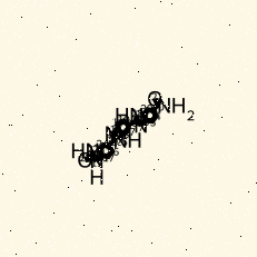 NC(=O)c1ccc2nc(-c3ccc4nc(-c5ccc6[nH]c(=O)[nH]c6c5)[nH]c4c3)[nH]c2c1